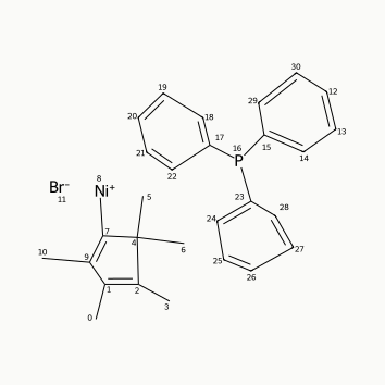 CC1=C(C)C(C)(C)[C]([Ni+])=C1C.[Br-].c1ccc(P(c2ccccc2)c2ccccc2)cc1